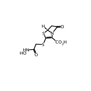 O=C(CSC1=C(C(=O)O)N2C(=O)C[C@H]2S1)NO